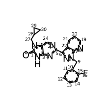 O=c1[nH]c2nc(-c3nn(Cc4ccccc4F)c4ncccc34)ncc2n1CC1CC1